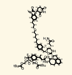 C/C(=C\C(=O)N[C@H]1CCc2cccc3c2N(C1=O)[C@H](C(=O)N[C@@H](CCC(N)=O)[C@@H](C)OCc1ccc(CCCCCOCCCc2ccc4c(c2)n(C)c(=O)n4C2CCC(=O)NC2=O)cc1)C3)c1ccc(C(F)(F)P(=O)(OCOC(=O)C(C)(C)C)OCOC(=O)C(C)(C)C)cc1